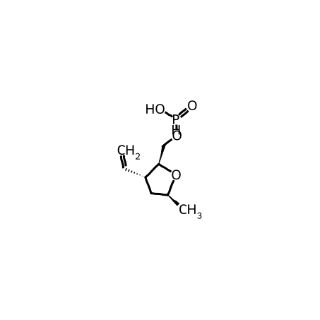 C=C[C@H]1C[C@H](C)O[C@@H]1CO[PH](=O)O